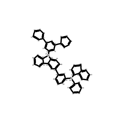 c1ccc(-c2cc(-c3ccccc3)cc(-n3c4ccccc4c4cc(-c5cccc(N(c6ccccc6)c6cccc7ccccc67)c5)ccc43)c2)cc1